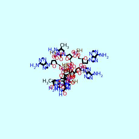 Cc1cn([C@H]2C[C@@H](OP(=O)(S)OC[C@H]3O[C@@H](n4cnc5c(N)ncnc54)C[C@H]3OP(=O)(S)OC[C@H]3O[C@@H](n4cc(C)c(=O)[nH]c4=O)C[C@H]3OP(=O)(S)OC[C@H]3O[C@@H](n4cnc5c(=O)[nH]c(N)nc54)C[C@H]3OP(=O)(S)OC[C@H]3O[C@@H](n4cnc5c(N)ncnc54)C[C@H]3OP(=O)(O)S)[C@@H](COP(=O)(S)O[C@@H]3C[C@H](n4cnc5c(N)ncnc54)O[C@@H]3COP(=O)(S)O[C@@H]3C[C@H](n4cc(C)c(=O)[nH]c4=O)O[C@@H]3C)O2)c(=O)nc1N